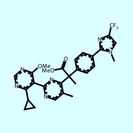 COC(=O)C(C)(c1ccc(-c2nc(C(F)(F)F)cn2C)cc1)c1nc(-c2c(OC)ncnc2C2CC2)ncc1C